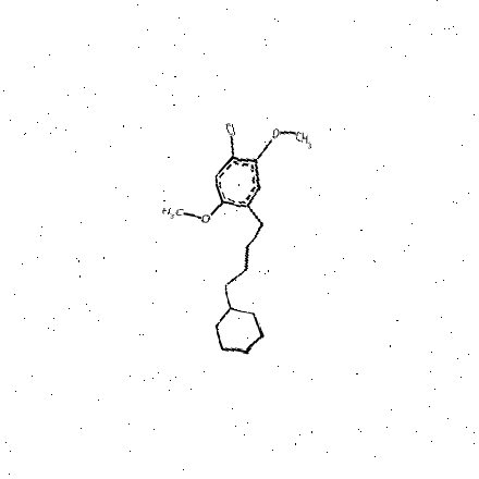 COc1cc(CCCCC2CCCCC2)c(OC)cc1Cl